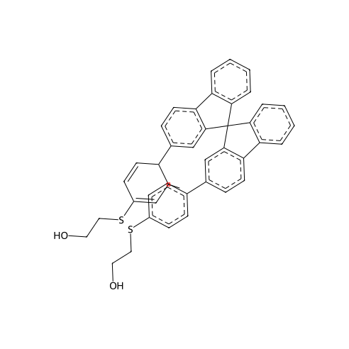 CC1C=C(SCCO)C=CC1c1ccc2c(c1)C1(c3ccccc3-c3ccc(-c4ccc(SCCO)cc4)cc31)c1ccccc1-2